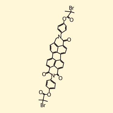 CC(C)(Br)C(=O)Oc1ccc(N2Cc3ccc4c5ccc6c7c(ccc(c8ccc(c3c48)C2=O)c75)C(=O)N(c2ccc(OC(=O)C(C)(C)Br)cc2)C6=O)cc1